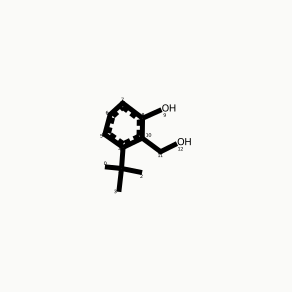 CC(C)(C)c1cccc(O)c1CO